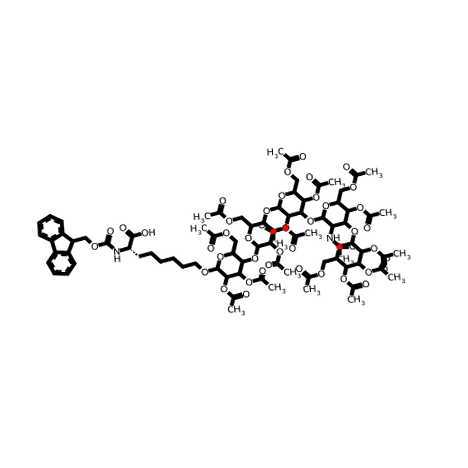 CC(=O)NC1C(OC2C(OC(C)=O)C(COC(C)=O)OC(OC3C(COC(C)=O)OC(OC4C(COC(C)=O)OC(OCCCCCC[C@H](NC(=O)OCC5c6ccccc6-c6ccccc65)C(=O)O)C(OC(C)=O)C4OC(C)=O)C(OC(C)=O)C3OC(C)=O)C2OC(C)=O)OC(COC(C)=O)C(OC(C)=O)C1OC1OC(COC(C)=O)C(OC(C)=O)C(OC(C)=O)C1OC(C)=O